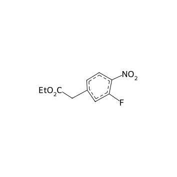 CCOC(=O)Cc1ccc([N+](=O)[O-])c(F)c1